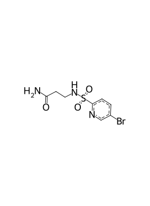 NC(=O)CCNS(=O)(=O)c1ccc(Br)cn1